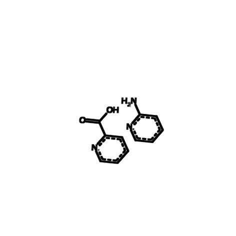 Nc1ccccn1.O=C(O)c1ccccn1